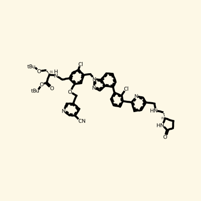 CC(C)(C)OC[C@H](NCc1cc(Cl)c(Cn2ncc3c(-c4cccc(-c5ccc(CNC[C@@H]6CCC(=O)N6)cn5)c4Cl)cccc32)cc1OCc1cncc(C#N)c1)C(=O)OC(C)(C)C